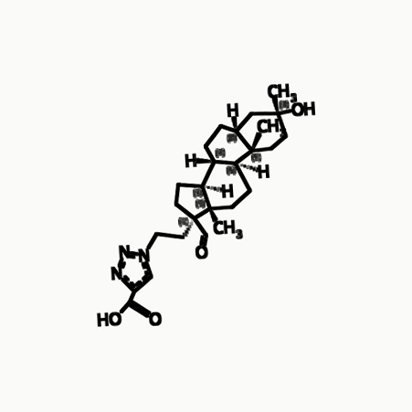 C[C@@]1(O)CC[C@@]2(C)[C@H](CC[C@@H]3[C@@H]2CC[C@@]2(C)[C@H]3CC[C@@]2(C=O)CCn2cc(C(=O)O)nn2)C1